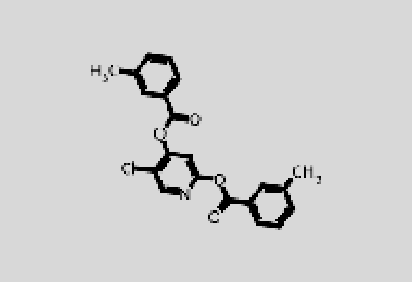 Cc1cccc(C(=O)Oc2cc(OC(=O)c3cccc(C)c3)c(Cl)cn2)c1